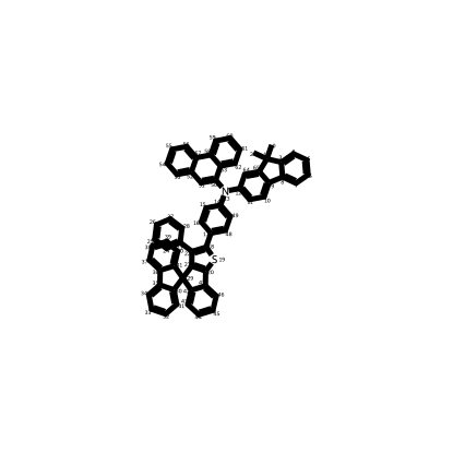 CC1(C)c2ccccc2-c2ccc(N(c3ccc(-c4sc5c(c4-c4ccccc4)C4(c6ccccc6-c6ccccc64)c4ccccc4-5)cc3)c3cc4ccccc4c4ccccc34)cc21